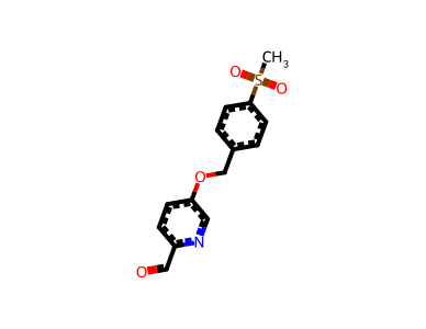 CS(=O)(=O)c1ccc(COc2ccc(C=O)nc2)cc1